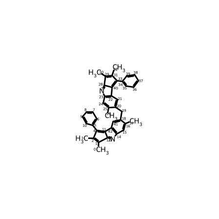 CC1=C(C)C(c2ccccc2)=C2C1=Nc1cc(C)c(Cc3cc4c(cc3C)N=C3C(C)=C(C)C(c5ccccc5)=C34)cc12